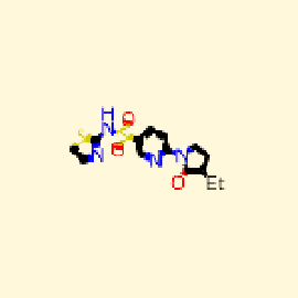 CCC1CCN(c2ccc(S(=O)(=O)Nc3nccs3)cn2)C1=O